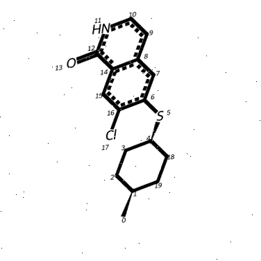 C[C@H]1CC[C@@H](Sc2cc3cc[nH]c(=O)c3cc2Cl)CC1